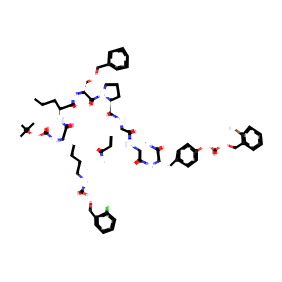 CC[C@H](C)[C@H](NC(=O)[C@H](CCCCNC(=O)OCc1ccccc1Cl)NC(=O)OC(C)(C)C)C(=O)N[C@@H](COCc1ccccc1)C(=O)N1CCC[C@H]1C(=O)N[C@@H](CCC(N)=O)C(=O)NCC(=O)N[C@@H](Cc1ccc(OC(=O)OCc2ccccc2Br)cc1)C(N)=O